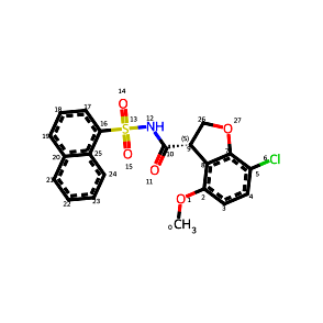 COc1ccc(Cl)c2c1[C@H](C(=O)NS(=O)(=O)c1cccc3ccccc13)CO2